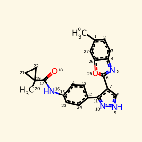 Cc1ccc2nc(-c3c[nH]nc3-c3ccc(NC(=O)C4(C)CC4)cc3)oc2c1